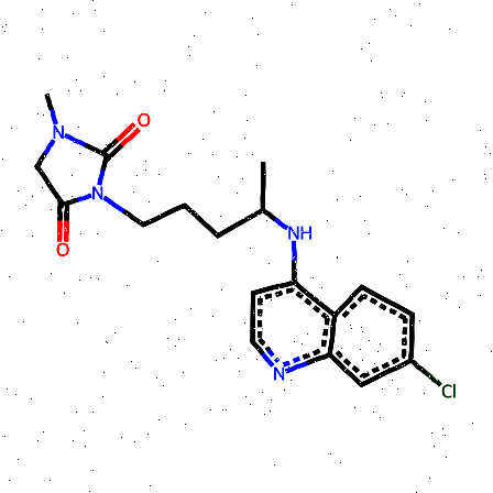 CC(CCCN1C(=O)CN(C)C1=O)Nc1ccnc2cc(Cl)ccc12